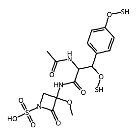 COC1(NC(=O)C(NC(C)=O)C(OS)c2ccc(OS)cc2)CN(S(=O)(=O)O)C1=O